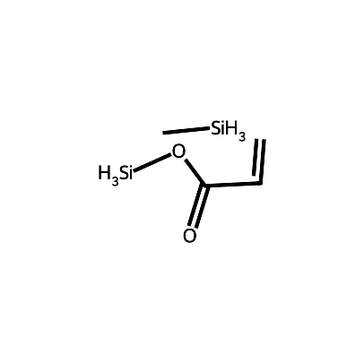 C=CC(=O)O[SiH3].C[SiH3]